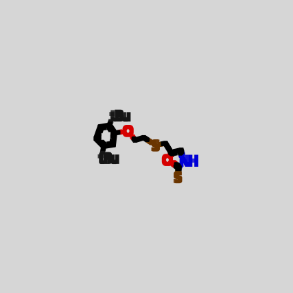 CC(C)(C)c1ccc(C(C)(C)C)c(OCCSCc2c[nH]c(=S)o2)c1